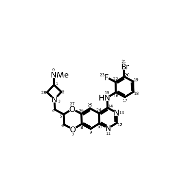 CNC1CN(CC2COc3cc4ncnc(Nc5cccc(Br)c5F)c4cc3O2)C1